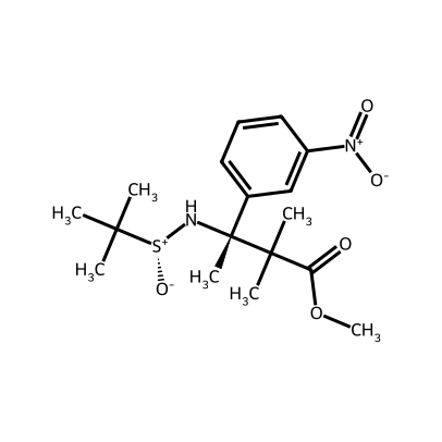 COC(=O)C(C)(C)[C@](C)(N[S@+]([O-])C(C)(C)C)c1cccc([N+](=O)[O-])c1